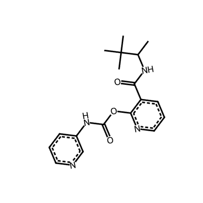 CC(NC(=O)c1cccnc1OC(=O)Nc1cccnc1)C(C)(C)C